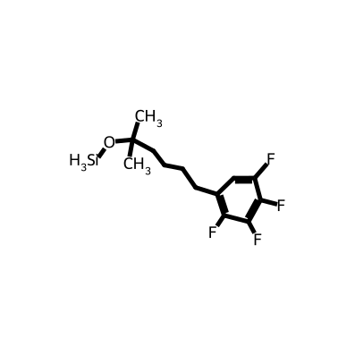 CC(C)(CCCCc1cc(F)c(F)c(F)c1F)O[SiH3]